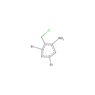 CCc1cc(CC)c(CCl)c([N+](=O)[O-])c1